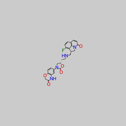 O=C1COc2ccc(N3C[C@H](CCNC[C@@H]4Cn5c(=O)ccc6ccc(F)c4c65)OC3=O)cc2N1